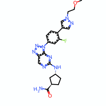 CCOCCn1cc(-c2ccc(-n3nnc4cnc(N[C@@H]5CC[C@@H](C(N)=O)C5)nc43)cc2F)cn1